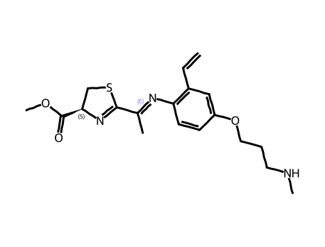 C=Cc1cc(OCCCNC)ccc1/N=C(\C)C1=N[C@@H](C(=O)OC)CS1